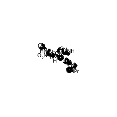 Cc1nc(S(=O)(=O)NC(=O)c2ccc(N3CCC4(CC3)CC(N3CCCC3c3ccccc3C(C)C)C4)cc2N2CCCOc3nc4[nH]ccc4cc32)cc([N+](=O)[O-])c1NCC1CCOCC1